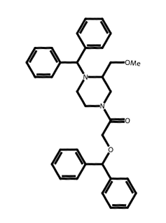 COCC1CN(C(=O)COC(c2ccccc2)c2ccccc2)CCN1C(c1ccccc1)c1ccccc1